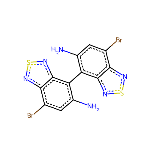 Nc1cc(Br)c2nsnc2c1-c1c(N)cc(Br)c2nsnc12